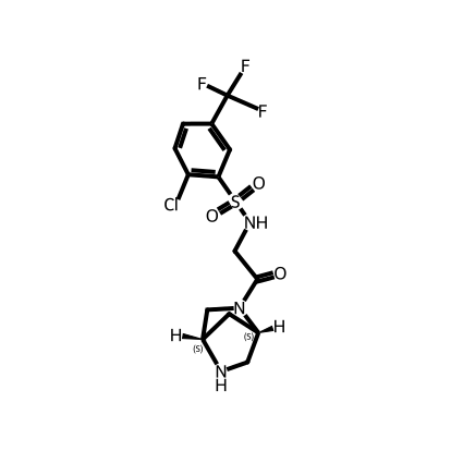 O=C(CNS(=O)(=O)c1cc(C(F)(F)F)ccc1Cl)N1C[C@@H]2C[C@H]1CN2